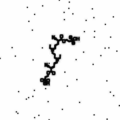 CCN(/C=C/C=C(\C#N)C(=O)OCCS(=O)(=O)O)CCCN(/C=C/C=C(\C#N)C(=O)OCCS(=O)(=O)O)CC